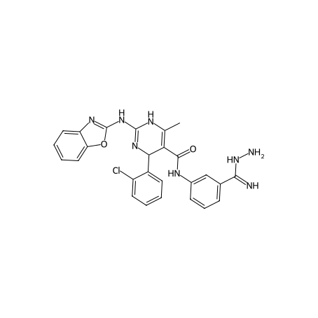 CC1=C(C(=O)Nc2cccc(C(=N)NN)c2)C(c2ccccc2Cl)N=C(Nc2nc3ccccc3o2)N1